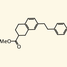 COC(=O)C1CCc2ccc(CCc3ccccc3)cc2C1